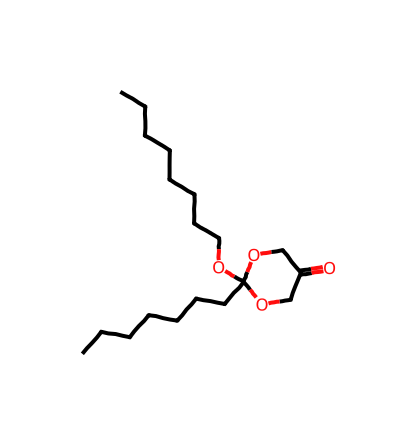 CCCCCCCCOC1(CCCCCCC)OCC(=O)CO1